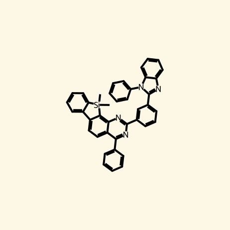 C[Si]1(C)c2ccccc2-c2ccc3c(-c4ccccc4)nc(-c4cccc(-c5nc6ccccc6n5-c5ccccc5)c4)nc3c21